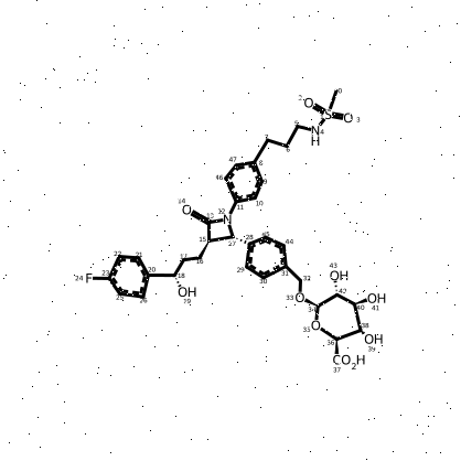 CS(=O)(=O)NCCCc1ccc(N2C(=O)[C@H](CC[C@H](O)c3ccc(F)cc3)[C@H]2c2ccc(CO[C@@H]3O[C@H](C(=O)O)[C@@H](O)[C@H](O)[C@H]3O)cc2)cc1